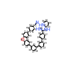 N#Cc1ccc(-c2ccc3oc4ccc(-c5cccc(-c6cccc(-c7ccc(C(=N)NC8C=CC=CN8)cc7)c6)c5)cc4c3c2)cc1